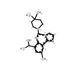 Cc1cc(C(C)O)c2nc(N3CCC(C)(C)CC3)n3ccnc3c2c1